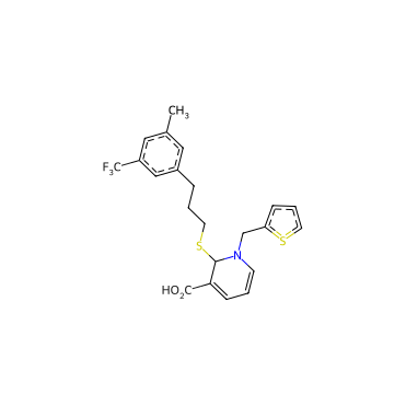 Cc1cc(CCCSC2C(C(=O)O)=CC=CN2Cc2cccs2)cc(C(F)(F)F)c1